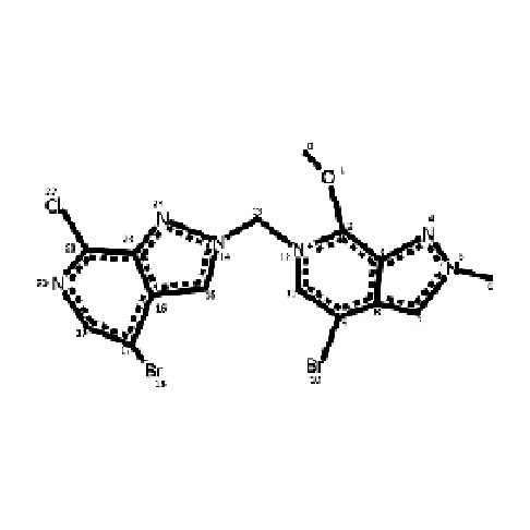 COc1c2nn(C)cc2c(Br)c[n+]1Cn1cc2c(Br)cnc(Cl)c2n1